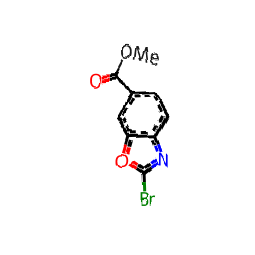 COC(=O)c1ccc2nc(Br)oc2c1